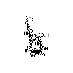 CC(C)CC(NC(=O)C(C)NC(=O)CC(O)C(CC(C)C)NC(=O)C(NC(=O)C(NC(=O)COCCOCCNC(=O)COCCOCCN)C(C)C)C(C)C)C(O)CC(=O)O